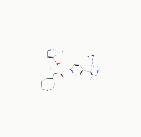 Cc1nnn(C2CC2)c1-c1ccc(NC(=O)[C@@H](NC(=O)c2ccnn2C)C2CCCCCC2)nc1